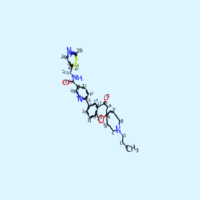 CCCN1CCC2(CC1)CC(=O)c1cc(-c3ccc(C(=O)NCc4cncs4)cn3)ccc1O2